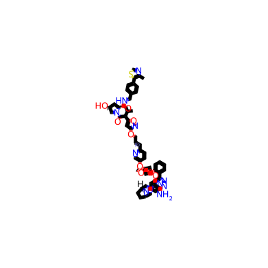 COCOc1ccccc1-c1cc(N2CC3CC[C@H](C2)N3c2ccnc(OC3CC(Oc4ccc(/C=C/COc5cc(C(C(=O)N6C[C@H](O)C[C@H]6C(=O)NCc6ccc(-c7scnc7C)cc6)C(C)C)on5)nc4)C3)c2)c(N)nn1